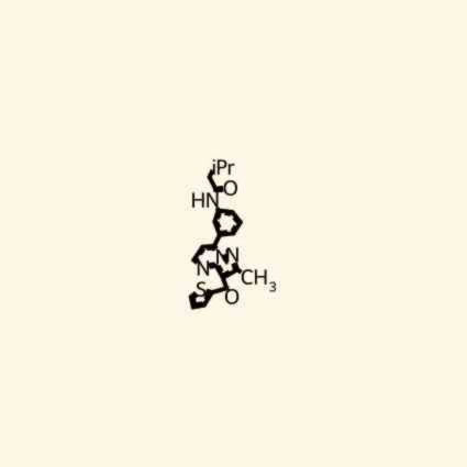 Cc1nn2c(-c3cccc(NC(=O)CC(C)C)c3)ccnc2c1C(=O)c1cccs1